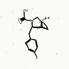 O=C(O)N1C[C@H]2CC2C1Cc1ccc(F)cc1